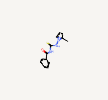 Cc1cccn1NC(=S)NC(=O)c1ccccc1